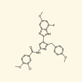 COc1ccc(Cn2nc(NC(=O)c3ccc(OC)c(Cl)c3)cc2-c2nc3cc(OC)cc(F)c3[nH]2)cc1